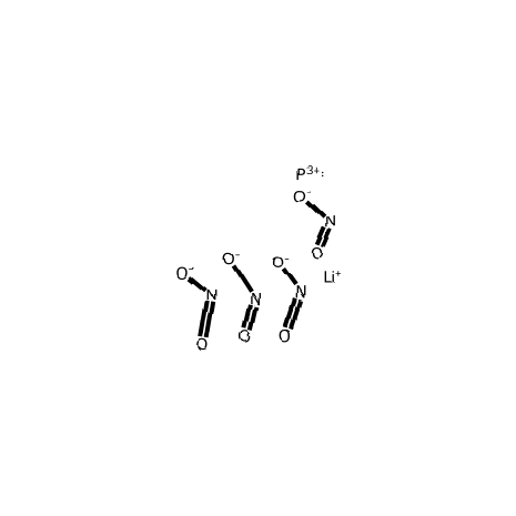 O=N[O-].O=N[O-].O=N[O-].O=N[O-].[Li+].[P+3]